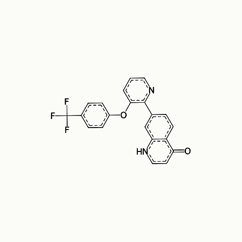 O=c1cc[nH]c2cc(-c3ncccc3Oc3ccc(C(F)(F)F)cc3)ccc12